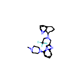 CN1CCN(c2cccc3nc(CN(CC(F)(F)F)C4CCCc5cccnc54)cn23)CC1